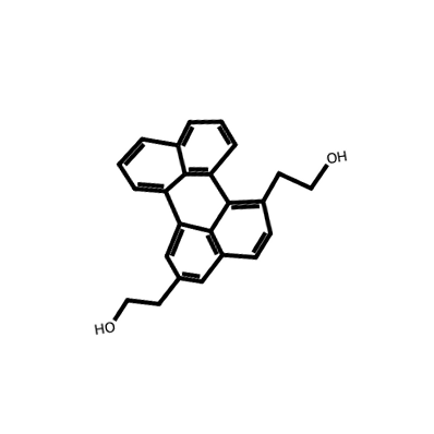 OCCc1cc2ccc(CCO)c3c4cccc5cccc(c(c1)c23)c54